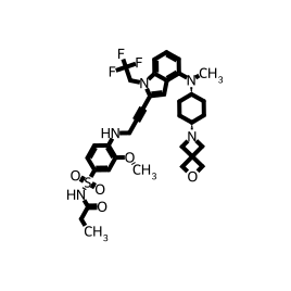 CCC(=O)NS(=O)(=O)c1ccc(NCC#Cc2cc3c(N(C)[C@H]4CC[C@@H](N5CC6(COC6)C5)CC4)cccc3n2CC(F)(F)F)c(OC)c1